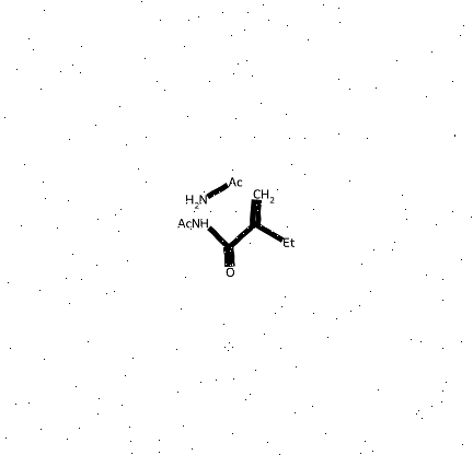 C=C(CC)C(=O)NC(C)=O.CC(N)=O